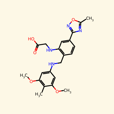 COc1cc(NCc2ccc(-c3noc(C)n3)cc2NCC(=O)O)cc(OC)c1C